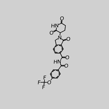 O=C1CCC(N2Cc3ccc(C(=O)NC(=O)c4ccc(OC(F)(F)F)cc4)cc3C2=O)C(=O)N1